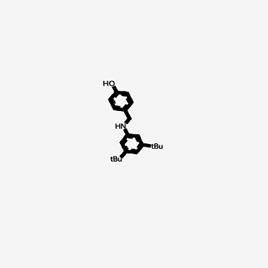 CC(C)(C)c1cc(NCc2ccc(O)cc2)cc(C(C)(C)C)c1